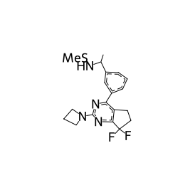 CSNC(C)c1cccc(-c2nc(N3CCC3)nc3c2CCC3(F)F)c1